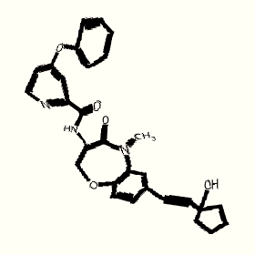 CN1C(=O)[C@H](NC(=O)c2cc(Oc3ccccc3)ccn2)COc2ccc(C#CC3(O)CCCC3)cc21